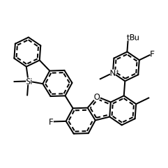 Cc1ccc2c(oc3c(-c4ccc5c(c4)[Si](C)(C)c4ccccc4-5)c(F)ccc32)c1-c1cc(F)c(C(C)(C)C)c[n+]1C